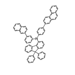 c1ccc(C2(c3ccccc3)c3ccccc3-c3c(N(c4ccc(-c5ccc6c(ccc7ccccc76)c5)cc4)c4cccc(-c5ccc6ccccc6c5)c4)cccc32)cc1